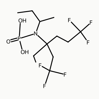 CCC(C)N(C(CC)(CCC(F)(F)F)CC(F)(F)F)P(=O)(O)O